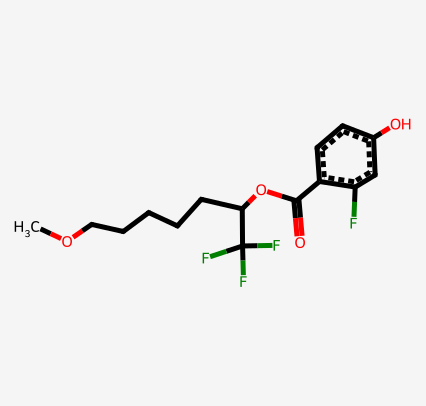 COCCCCCC(OC(=O)c1ccc(O)cc1F)C(F)(F)F